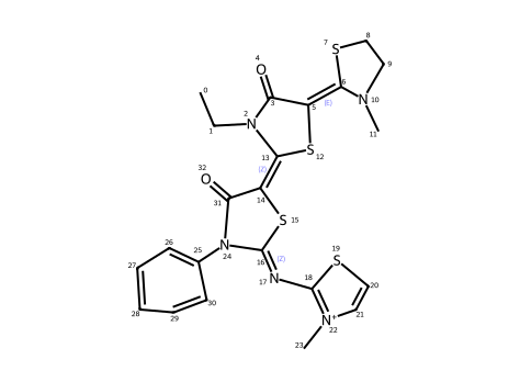 CCn1c(=O)/c(=C2\SCCN2C)s/c1=C1\S/C(=N\c2scc[n+]2C)N(c2ccccc2)C1=O